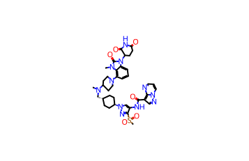 CN(C[C@H]1CC[C@H](n2cc(NC(=O)c3cnn4cccnc34)c(S(C)(=O)=O)n2)CC1)C1CCN(c2cccc3c2n(C)c(=O)n3C2CCC(=O)NC2=O)CC1